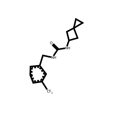 O=C(NCc1cccc(C(F)(F)F)c1)NC1CC2(CC2)C1